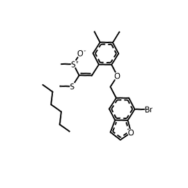 CCCCCC.CSC(=Cc1cc(C)c(C)cc1OCc1cc(Br)c2occc2c1)[S+](C)[O-]